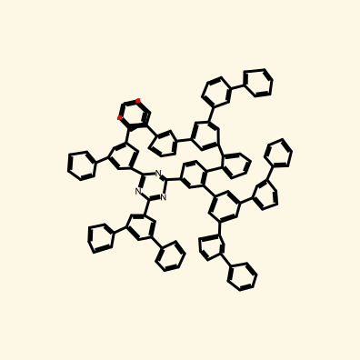 c1ccc(-c2cccc(-c3cc(-c4cccc(-c5ccccc5)c4)cc(-c4ccccc4-c4ccc(-c5nc(-c6cc(-c7ccccc7)cc(-c7ccccc7)c6)nc(-c6cc(-c7ccccc7)cc(-c7ccccc7)c6)n5)cc4-c4cc(-c5cccc(-c6ccccc6)c5)cc(-c5cccc(-c6ccccc6)c5)c4)c3)c2)cc1